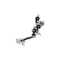 Cn1nc(-c2ccc(NS(=O)(=O)C(F)F)c(OCCc3ccc(F)cc3)c2)c2c(N)ncc(-c3cnn(CCCCCCC(=O)OC(C)(C)C)c3)c21